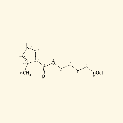 CCCCCCCCCCCCOC(=O)c1c[nH]cc1C